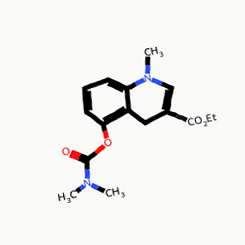 CCOC(=O)C1=CN(C)c2cccc(OC(=O)N(C)C)c2C1